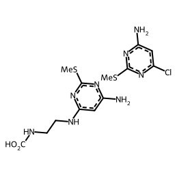 CSc1nc(N)cc(Cl)n1.CSc1nc(N)cc(NCCNC(=O)O)n1